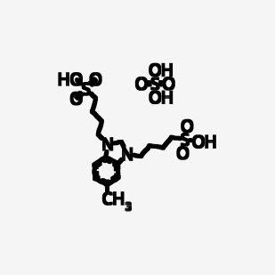 Cc1ccc2c(c1)N(CCCCS(=O)(=O)O)CN2CCCCS(=O)(=O)O.O=S(=O)(O)O